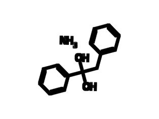 N.OC(O)(Cc1ccccc1)c1ccccc1